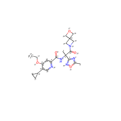 Cc1nc(C(C)(NC(=O)c2cc(OCC(F)(F)F)c(C3CC3)cn2)C(=O)N2CC3(COC3)C2)no1